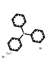 [Br-].[Br-].[Cu+2].c1ccc(P(c2ccccc2)c2ccccc2)cc1